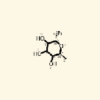 CC(C)[C@@H]1O[C@@H](C)C(O)C(O)C1O